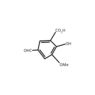 COc1cc(C=O)cc(C(=O)O)c1O